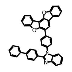 c1ccc(-c2ccc(-c3nc4ccccc4n3-c3ccc(-c4cc5c6ccccc6oc5c5c4oc4ccccc45)cc3)cc2)cc1